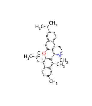 Cc1ccc2c(CC(C)C)c3c(c(C)c2c1)-c1c2c(cc4cc(C(C)C)ccc4c2cc[n+]1C)O3